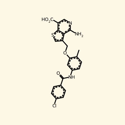 Cc1ccc(NC(=O)c2ccc(Cl)cc2)cc1OCc1csc2c(C(=O)O)cnc(N)c12